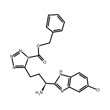 N[C@@H](CCc1nnnn1C(=O)OCc1ccccc1)c1nc2cc(Cl)ccc2[nH]1